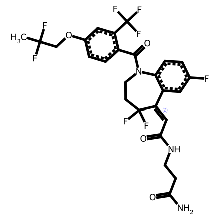 CC(F)(F)COc1ccc(C(=O)N2CCC(F)(F)/C(=C\C(=O)NCCC(N)=O)c3cc(F)ccc32)c(C(F)(F)F)c1